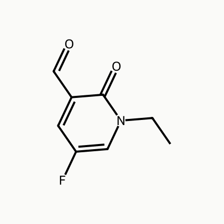 CCn1cc(F)cc(C=O)c1=O